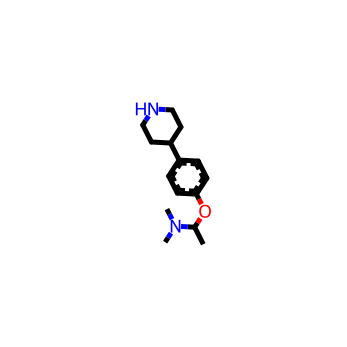 CC(Oc1ccc(C2CCNCC2)cc1)N(C)C